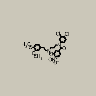 COc1ccc(CCN(C)CCCN(C(=O)c2ccc([N+](=O)[O-])cc2)c2ccc(Cl)c(Cl)c2)cc1OC